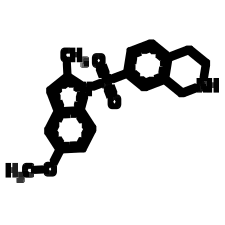 COc1ccc2c(c1)cc(C)n2S(=O)(=O)c1ccc2c(c1)CNCC2